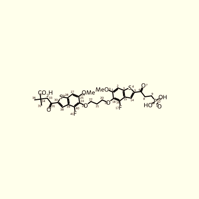 COc1cc2sc(C(=O)CCP(=O)(O)O)cc2c(F)c1OCCCOc1c(OC)cc2sc(C(=O)CC(C)(C)C(=O)O)cc2c1F